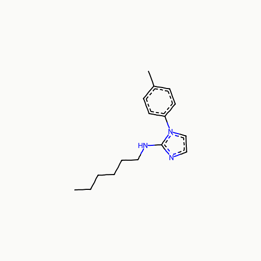 CCCCCCNc1nccn1-c1ccc(C)cc1